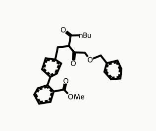 CCCCC(=O)C(Cc1ccc(-c2ccccc2C(=O)OC)cc1)C(=O)COCc1ccccc1